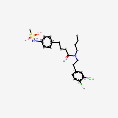 CCCCN(CCc1ccc(Cl)c(Cl)c1)C(=O)CCCc1ccc(NS(C)(=O)=O)cc1